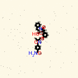 Cc1oc(-c2ccc(C(N)=O)cc2)nc1COc1cccc(C(C)(C)C(=O)N2c3ccccc3C[C@@H]2C(=O)O)c1